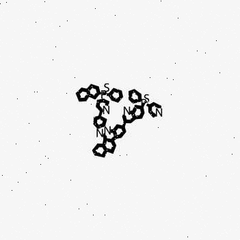 S=P(c1ccccc1)(c1ccc(-c2ccc3nc4c5c6ccccc6ccc5c5ccc(-c6cnc7cc(P(=S)(c8ccccc8)c8ccncc8)ccc7c6)cc5n4c3c2)nc1)c1ccc2ccccc2c1